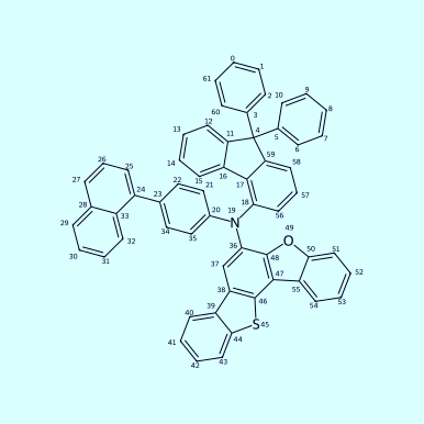 c1ccc(C2(c3ccccc3)c3ccccc3-c3c(N(c4ccc(-c5cccc6ccccc56)cc4)c4cc5c6ccccc6sc5c5c4oc4ccccc45)cccc32)cc1